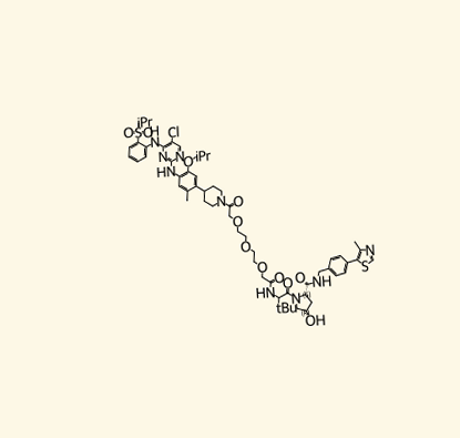 Cc1cc(Nc2ncc(Cl)c(Nc3ccccc3S(=O)(=O)C(C)C)n2)c(OC(C)C)cc1C1CCN(C(=O)COCCOCCOCC(=O)NC(C(=O)N2C[C@H](O)C[C@H]2C(=O)NCc2ccc(-c3scnc3C)cc2)C(C)(C)C)CC1